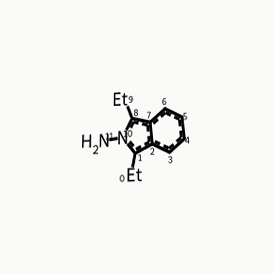 CCc1c2ccccc2c(CC)n1N